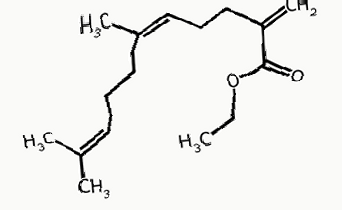 C=C(CCC=C(C)CCC=C(C)C)C(=O)OCC